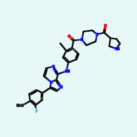 COc1ccc(-c2cnc3c(Nc4ccc(C(=O)N5CCN(C(=O)C6CCNC6)CC5)c(C)c4)nccn23)cc1F